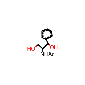 CC(=O)NC(CO)C(O)c1ccccc1